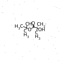 [CH2][C@@](C)(O)C(=O)OC(C)(C)C